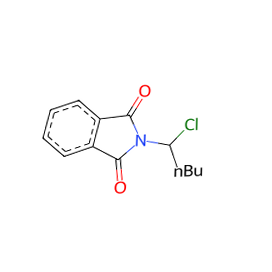 CCCCC(Cl)N1C(=O)c2ccccc2C1=O